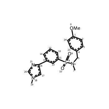 COc1ccc(CN(C)S(=O)(=O)c2cccc(-c3cn(C)cn3)c2)cc1